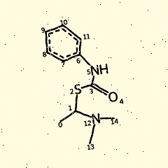 CC(SC(=O)Nc1ccccc1)N(C)C